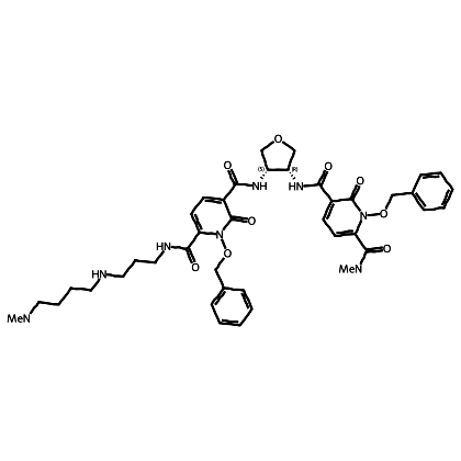 CNCCCCNCCCNC(=O)c1ccc(C(=O)N[C@@H]2COC[C@@H]2NC(=O)c2ccc(C(=O)NC)n(OCc3ccccc3)c2=O)c(=O)n1OCc1ccccc1